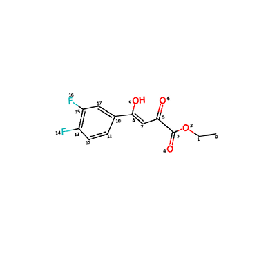 CCOC(=O)C(=O)/C=C(\O)c1ccc(F)c(F)c1